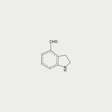 O=[C]c1cccc2c1CCN2